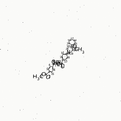 COC(=O)c1ccc(C(=O)NNC(=O)c2ccc(N3CCC(OC)(C4CCCCC4)CC3)cc2)cc1